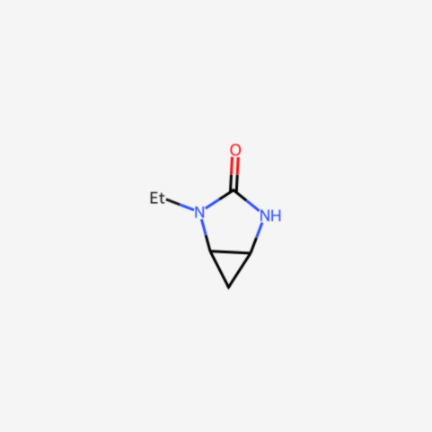 CCN1C(=O)NC2CC21